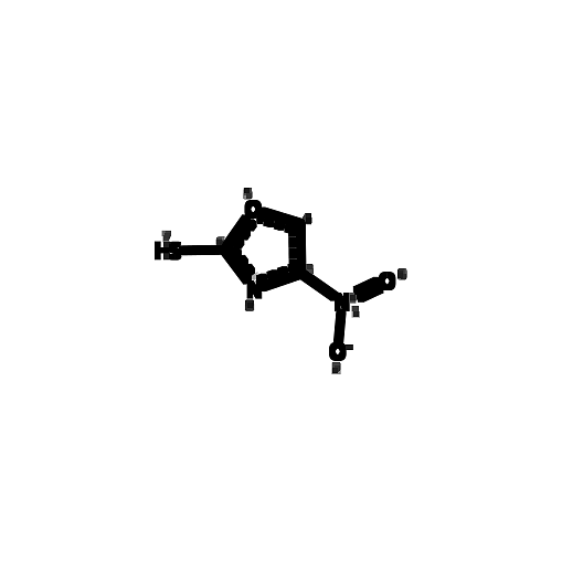 O=[N+]([O-])c1coc(S)n1